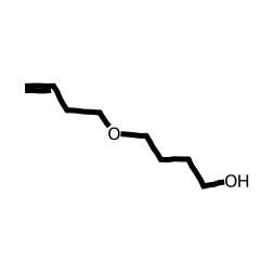 C=CCCOCCCCO